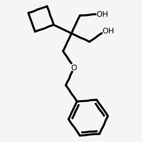 OCC(CO)(COCc1ccccc1)C1CCC1